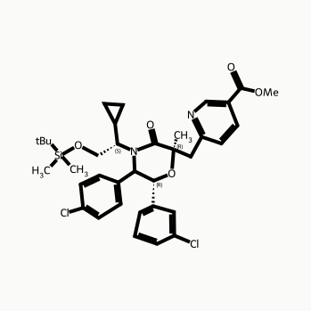 COC(=O)c1ccc(C[C@@]2(C)O[C@H](c3cccc(Cl)c3)C(c3ccc(Cl)cc3)N([C@H](CO[Si](C)(C)C(C)(C)C)C3CC3)C2=O)nc1